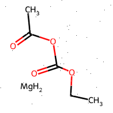 CCOC(=O)OC(C)=O.[MgH2]